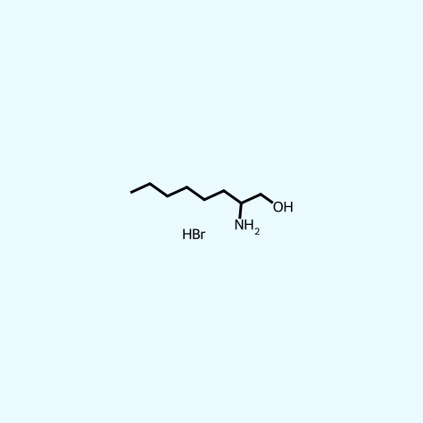 Br.CCCCCCC(N)CO